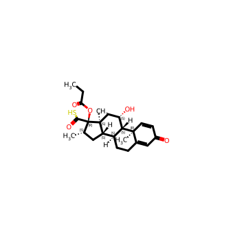 CCC(=O)O[C@]1(C(=O)S)[C@@H](C)C[C@H]2[C@@H]3CCC4=CC(=O)C=C[C@]4(C)[C@H]3[C@@H](O)C[C@@]21C